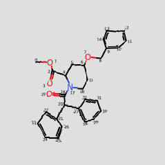 COC(=O)C1CC(OCc2ccccc2)CCN1C(=O)C(c1ccccc1)c1ccccc1